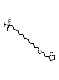 FC(F)(F)CCCCCCCCCCCOCCC1CCCO1